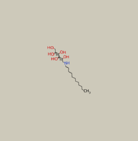 CCCCCCCCCCCCNC[C@H](O)[C@@H](O)[C@H](O)[C@H](O)CO